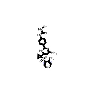 C/C=C(\C(=C/CCC)C(F)(F)F)S(=O)(=O)C1(C2=CC(N)=NC(c3ccc(NC(=O)NC(C)C)cc3)N2)CC1